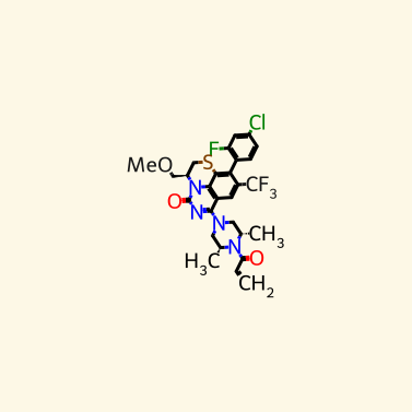 C=CC(=O)N1[C@H](C)CN(c2nc(=O)n3c4c(c(-c5ccc(Cl)cc5F)c(C(F)(F)F)cc24)SC[C@@H]3COC)C[C@@H]1C